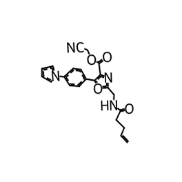 C=CCCC(=O)NCc1nc(C(=O)OCC#N)c(-c2ccc(-n3cccc3)cc2)o1